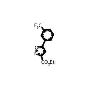 CCOC(=O)c1cc(-c2cccc(C(F)(F)F)c2)on1